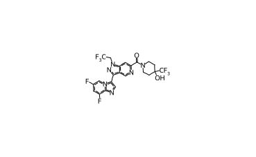 O=C(c1cc2c(cn1)c(-c1cnc3c(F)cc(F)cn13)nn2CC(F)(F)F)N1CCC(O)(C(F)(F)F)CC1